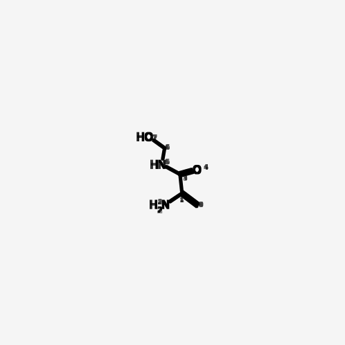 C=C(N)C(=O)NCO